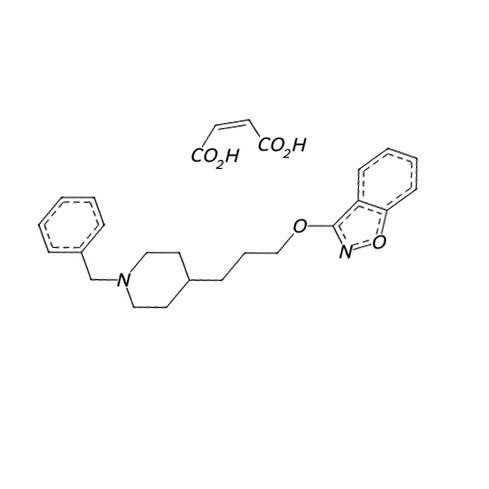 O=C(O)/C=C\C(=O)O.c1ccc(CN2CCC(CCCOc3noc4ccccc34)CC2)cc1